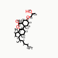 CC(C)CCC[C@@H](C)[C@H]1CC[C@H]2C3=C(CC[C@]12C)[C@@]1(C)CC[C@H](OCC(C)O)C[C@@H]1C(=O)O3